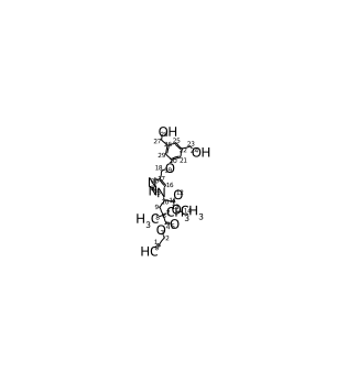 C#CCOC(=O)C(C)(C)CC(C(=O)OC)n1cc(COc2cc(CO)cc(CO)c2)nn1